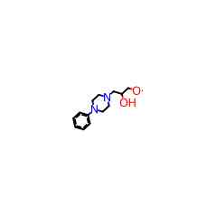 [O]CC(O)CN1CCN(c2ccccc2)CC1